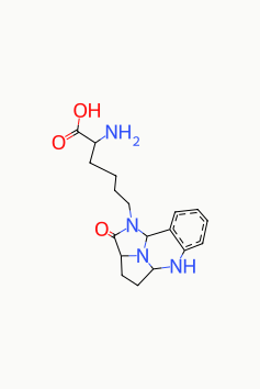 NC(CCCCN1C(=O)C2CCC3Nc4ccccc4C1N32)C(=O)O